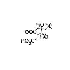 C[N+](C)(C)CC(O)(CC(=O)[O-])C(=O)CCC(=O)O.Cl